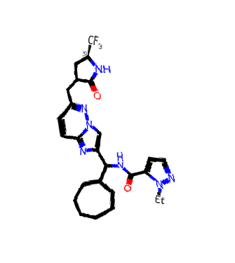 CCn1nccc1C(=O)NC(c1cn2nc(CC3C[C@@H](C(F)(F)F)NC3=O)ccc2n1)C1CCCCCC1